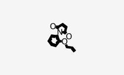 C=CCOc1ccccc1N1C(=O)C=CC1=O